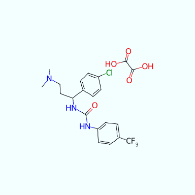 CN(C)CCC(NC(=O)Nc1ccc(C(F)(F)F)cc1)c1ccc(Cl)cc1.O=C(O)C(=O)O